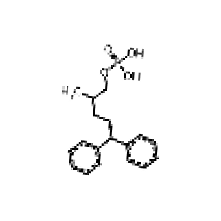 CC(CCC(c1ccccc1)c1ccccc1)COP(=O)(O)O